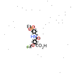 CCS(=O)(=O)c1ccc(CNC(=O)c2ccc(OCCF)c(C(=O)O)c2)cc1